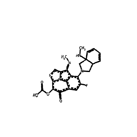 CN=c1c2c(N3CC4C=CC=CC4(NC)C3)c(F)cc3c(=O)c(OC(=O)O)c4scc1n4c32